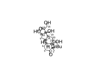 CCCC[C@@]1(C)C(=O)CC[C@H]2[C@@H]3C[C@@H](O)[C@](O)(C(=O)CO)[C@@]3(C)C[C@H](O)C21F